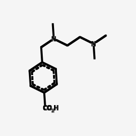 CN(C)CCN(C)Cc1ccc(C(=O)O)cc1